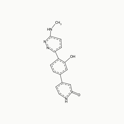 CNc1ccc(-c2ccc(-c3cc[nH]c(=O)c3)cc2O)nn1